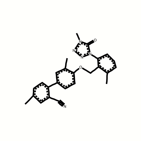 Cc1ccc(-c2ccc(OCc3c(C)cccc3-n3nnn(C)c3=O)c(C)c2)c(C#N)c1